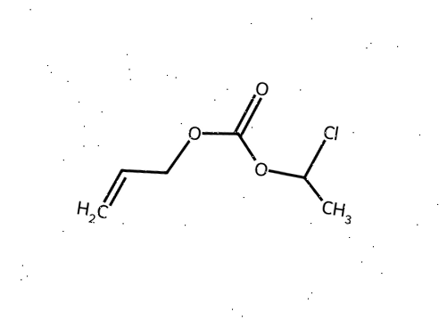 C=CCOC(=O)OC(C)Cl